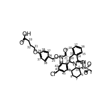 CS(=O)(=O)N[C@H]1CCCC[C@@H]1N1C(=O)c2ccccc2[C@@H](C(=O)NOCc2ccc(OCCCC(=O)O)cc2)[C@@H]1c1ccc(Cl)cc1